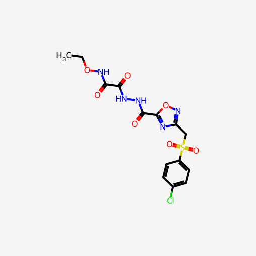 CCONC(=O)C(=O)NNC(=O)c1nc(CS(=O)(=O)c2ccc(Cl)cc2)no1